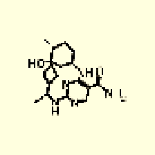 C[C@H](Nc1ncc(C(N)=O)c(N[C@@H]2CC[C@@H](C)[C@H](O)C2)n1)C1CCC1